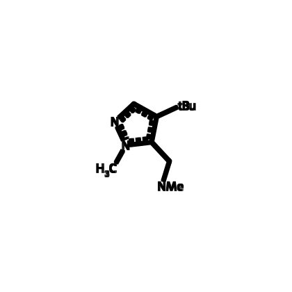 CNCc1c(C(C)(C)C)cnn1C